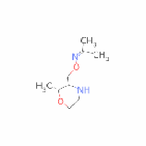 CC(C)=NOC[C@H]1NCCO[C@@H]1C